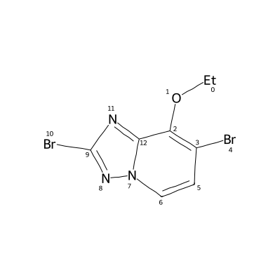 CCOc1c(Br)ccn2nc(Br)nc12